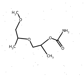 COCC(C)OCC(C)OC(N)=O